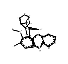 COc1c(F)cccc1C(=O)N1C2CCC1C(Nc1cnc3ccccc3n1)C2